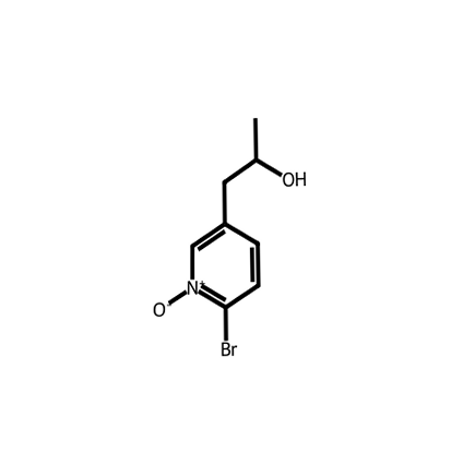 CC(O)Cc1ccc(Br)[n+]([O-])c1